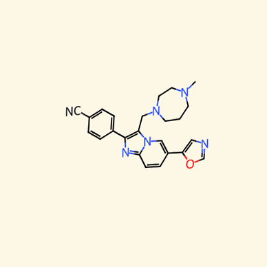 CN1CCCN(Cc2c(-c3ccc(C#N)cc3)nc3ccc(-c4cnco4)cn23)CC1